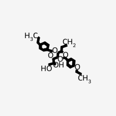 C=CCC1OC(c2ccc(OCCC)cc2)OC2C(C(O)CO)OC(c3ccc(CCC)cc3)OC12